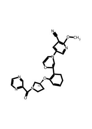 COc1ncc(N2C=COC(C3=C(O[C@H]4CCN(C(=O)c5cnccn5)C4)C=CCC3)=C2)cc1C#N